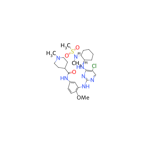 COc1ccc(NC(=O)C2CCN(C)CC2)cc1Nc1ncc(Cl)c(N[C@@H]2CCCC[C@H]2N(C)S(C)(=O)=O)n1